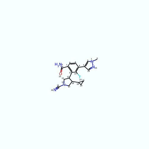 Cn1cc(-c2ccc(C(N)=O)c(C3CN(C#N)CC3C3CC3)c2F)cn1